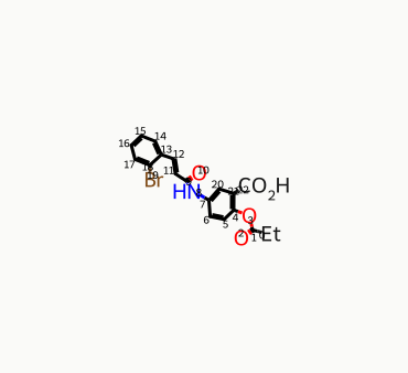 CCC(=O)Oc1ccc(NC(=O)C=Cc2ccccc2Br)cc1C(=O)O